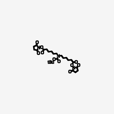 CC(C)(C)OC(=O)N(CCCCCC(=O)ON1C(=O)CCC1=O)CCCCCC(=O)ON1C(=O)CCC1=O